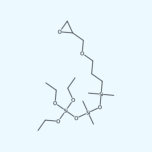 CCO[Si](OCC)(OCC)O[Si](C)(C)O[Si](C)(C)CCCOCC1CO1